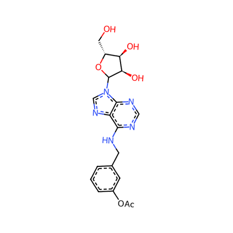 CC(=O)Oc1cccc(CNc2ncnc3c2ncn3C2O[C@H](CO)[C@@H](O)[C@H]2O)c1